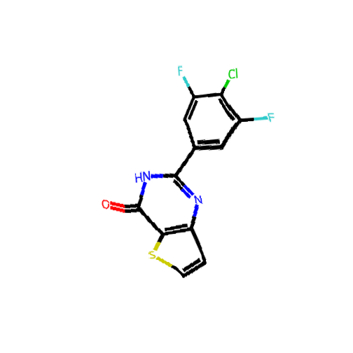 O=c1[nH]c(-c2cc(F)c(Cl)c(F)c2)nc2ccsc12